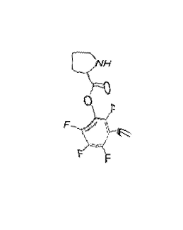 O=C(Oc1c(F)c(F)c(F)c(F)c1F)C1CCCN1